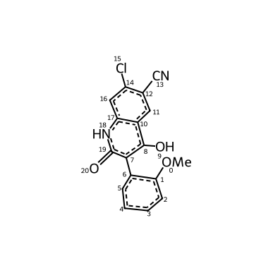 COc1ccccc1-c1c(O)c2cc(C#N)c(Cl)cc2[nH]c1=O